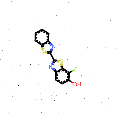 Oc1ccc2nc(-c3nc4ccccc4s3)sc2c1F